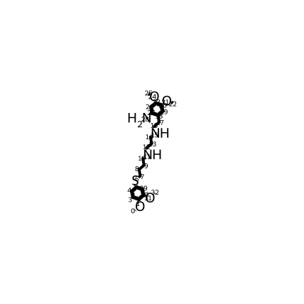 COc1ccc(SCCCCNCCCNCCc2cc(OC)c(OC)cc2N)cc1OC